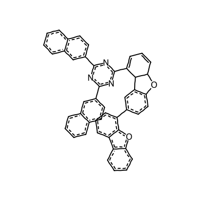 C1=CC2Oc3ccc(-c4cccc5c4oc4ccccc45)cc3C2C(c2nc(-c3ccc4ccccc4c3)nc(-c3ccc4ccccc4c3)n2)=C1